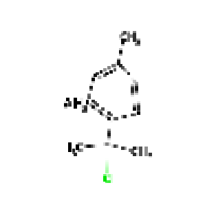 Cc1ccc(C(C)(C)Cl)cc1.[AlH3]